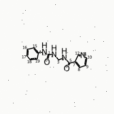 O=C(NCNC(=O)c1cccnc1)Nc1ccccc1